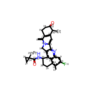 C=C1C2=C(C=C3c4nc5cc(F)c(C)c6c5c(c4CN13)C(NC(=O)C1(CCC)CC1)CC6)C(CC)C(=O)CC2